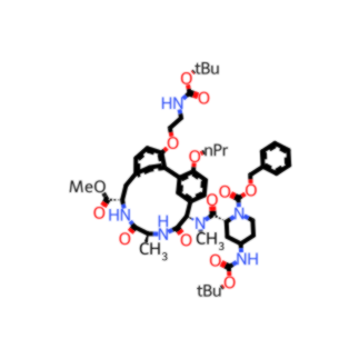 CCCOc1ccc2cc1-c1cc(ccc1OCCNC(=O)OC(C)(C)C)C[C@@H](C(=O)OC)NC(=O)[C@H](C)NC(=O)[C@H]2N(C)C(=O)[C@H]1CC(NC(=O)OC(C)(C)C)CCN1C(=O)OCc1ccccc1